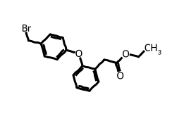 CCOC(=O)Cc1ccccc1Oc1ccc(CBr)cc1